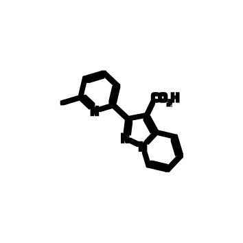 Cc1cccc(-c2nn3ccccc3c2C(=O)O)n1